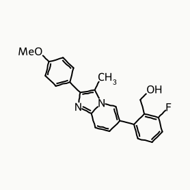 COc1ccc(-c2nc3ccc(-c4cccc(F)c4CO)cn3c2C)cc1